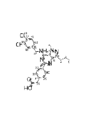 CCCc1nn(C)c2c(NCc3ccc(Cl)c(Cl)c3)nc(-c3ccc(CC(=O)O)cc3)nc12